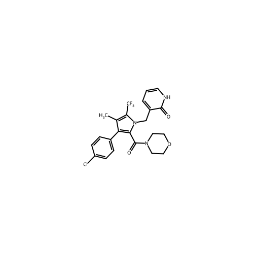 Cc1c(-c2ccc(Cl)cc2)c(C(=O)N2CCOCC2)n(Cc2ccc[nH]c2=O)c1C(F)(F)F